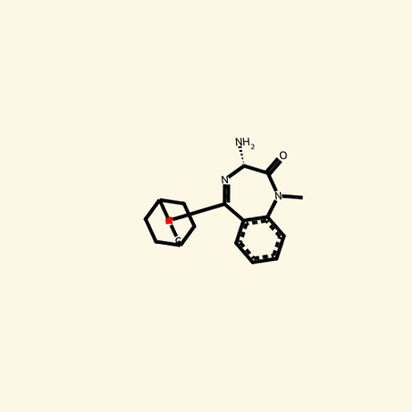 CN1C(=O)[C@@H](N)N=C(N2CC3CCC(CC3)C2)c2ccccc21